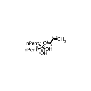 C=CCOP(O)(O)(CCCCC)CCCCC